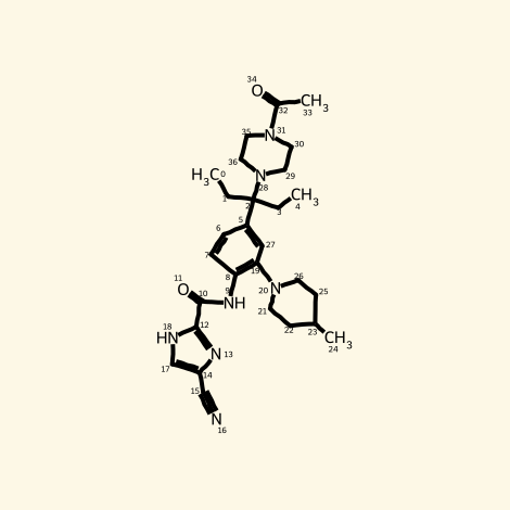 CCC(CC)(c1ccc(NC(=O)c2nc(C#N)c[nH]2)c(N2CCC(C)CC2)c1)N1CCN(C(C)=O)CC1